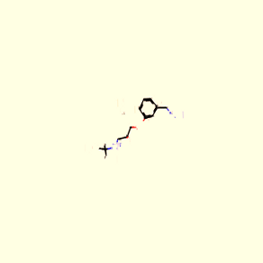 CC(C)(C)NCC(O)COc1cccc(CN)c1.Cl.Cl